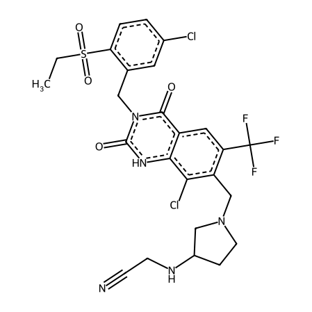 CCS(=O)(=O)c1ccc(Cl)cc1Cn1c(=O)[nH]c2c(Cl)c(CN3CCC(NCC#N)C3)c(C(F)(F)F)cc2c1=O